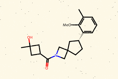 COc1c(C)cccc1[C@@H]1CCC2(C1)CN(C(=O)C1CC(C)(O)C1)C2